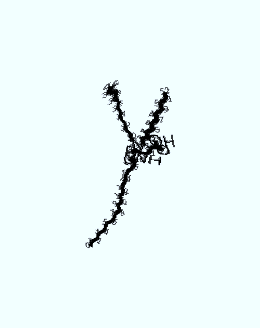 CCCCCCCCCCCCCCCCCC(=O)NC(CCC(=O)O)C(=O)N(CCCCCCCCCCCC)CCCCCCCCCCCC